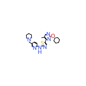 Cc1cnc(OC2CCCCC2)nc1-c1cnc(Nc2ccc(CN3CCCCC3)cn2)s1